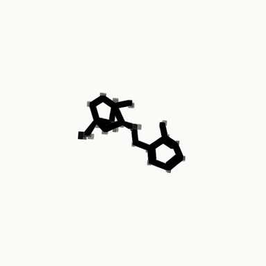 Cc1ccccc1CO[C@H]1C[C@]2(C(C)C)CCC1(C)O2